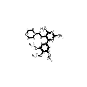 COc1cc(-c2nc(N)nc(N)c2CCN2CCOCC2)cc(OC)c1OC